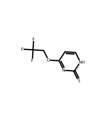 FC(F)(F)COc1cc[nH]c(=S)n1